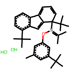 C[C](C)=[Ti]([O]c1cc(C)cc(C(C)(C)C)c1)[C]1(C(C)(C)C)C=CC=C2C1=Cc1c2cccc1C(C)(C)C.Cl.Cl